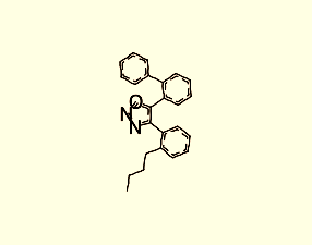 CCCCc1ccccc1-c1nnoc1-c1ccccc1-c1ccccc1